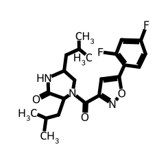 CC(C)CC1CN(C(=O)c2cc(-c3ccc(F)cc3F)on2)C(CC(C)C)C(=O)N1